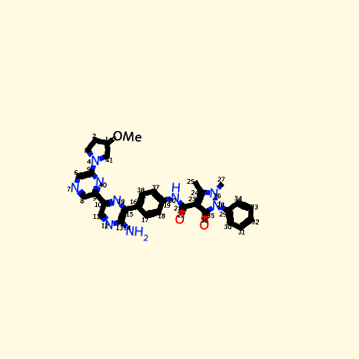 COC1CCN(c2cncc(-c3cnc(N)c(-c4ccc(NC(=O)c5c(C)n(C)n(-c6ccccc6)c5=O)cc4)n3)n2)C1